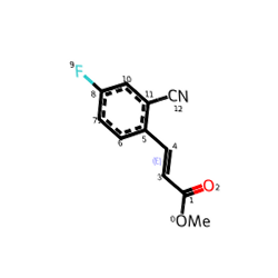 COC(=O)/C=C/c1c[c]c(F)cc1C#N